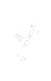 CC(C)c1ccccc1[C@@H]1CCCN1C1CC2(CCN(c3ccc(C(=O)NS(=O)(=O)c4cc5c(c([N+](=O)[O-])c4)N[C@@H](C4CCC(C)(C)CC4)CO5)c(Oc4cnc5[nH]cc(Cl)c5c4)c3)CC2)C1